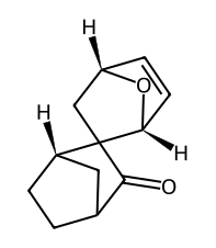 O=C1C2CC[C@@H](C2)C12C[C@@H]1C=C[C@H]2O1